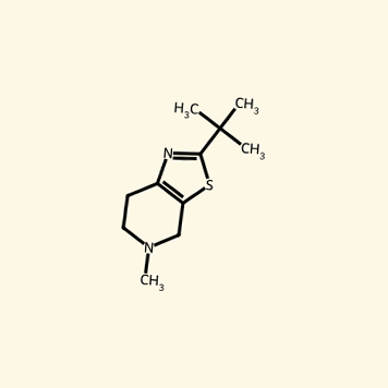 CN1CCc2nc(C(C)(C)C)sc2C1